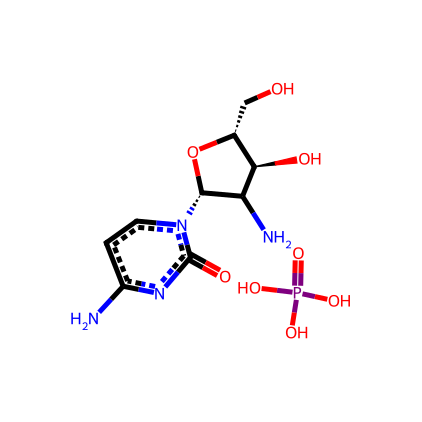 Nc1ccn([C@@H]2O[C@H](CO)[C@@H](O)C2N)c(=O)n1.O=P(O)(O)O